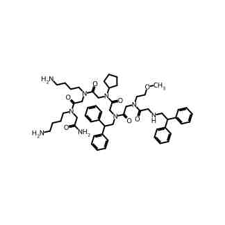 COCCN(CC(=O)N(CC(=O)N(CC(=O)N(CCCCN)CC(=O)N(CCCCN)CC(N)=O)C1CCCC1)CC(c1ccccc1)c1ccccc1)C(=O)CNCC(c1ccccc1)c1ccccc1